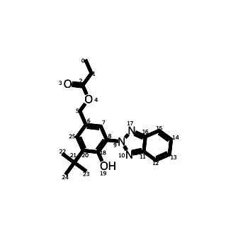 CCC(=O)OCc1cc(-n2nc3ccccc3n2)c(O)c(C(C)(C)C)c1